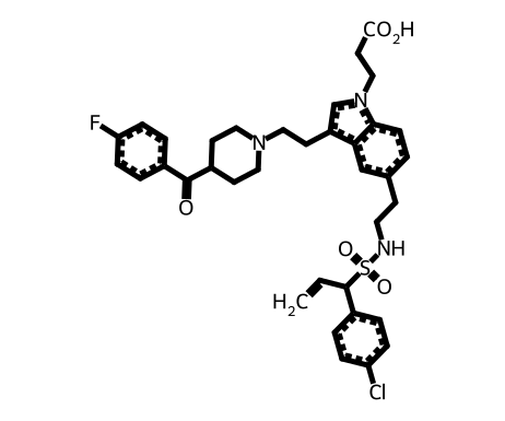 C=CC(c1ccc(Cl)cc1)S(=O)(=O)NCCc1ccc2c(c1)c(CCN1CCC(C(=O)c3ccc(F)cc3)CC1)cn2CCC(=O)O